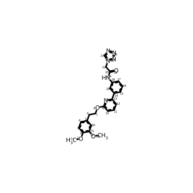 COc1ccc(CCOc2cccc(-c3cccc(NC(=O)Cn4cnnn4)c3)n2)cc1OC